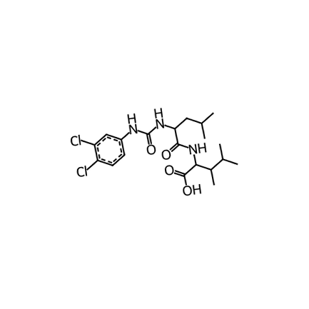 CC(C)CC(NC(=O)Nc1ccc(Cl)c(Cl)c1)C(=O)NC(C(=O)O)C(C)C(C)C